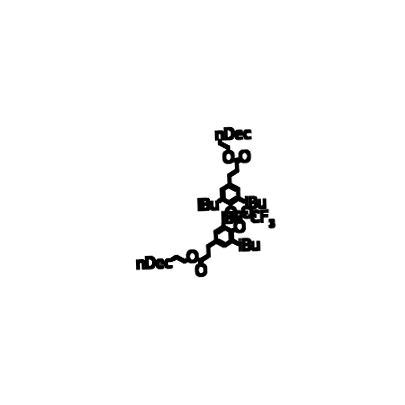 CCCCCCCCCCCCOC(=O)CCc1cc(C(C)CC)c(OP(Oc2c(C(C)CC)cc(CCC(=O)OCCCCCCCCCCCC)cc2C(C)CC)OC(F)(F)F)c(C(C)CC)c1